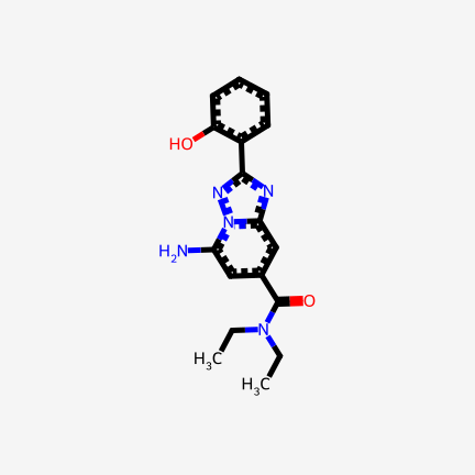 CCN(CC)C(=O)c1cc(N)n2nc(-c3ccccc3O)nc2c1